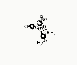 COc1ccc(CNS(=O)(=O)c2cc([N+](=O)[O-])ccc2Oc2ccc(Cl)cc2)c(OC)c1